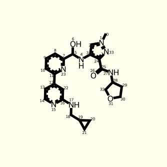 Cn1cc(NC(O)c2cccc(-c3ccnc(NCC4CC4)c3)n2)c(C(=O)NC2CCOC2)n1